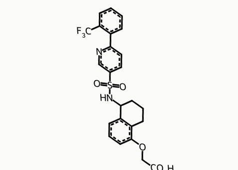 O=C(O)COc1cccc2c1CCCC2NS(=O)(=O)c1ccc(-c2ccccc2C(F)(F)F)nc1